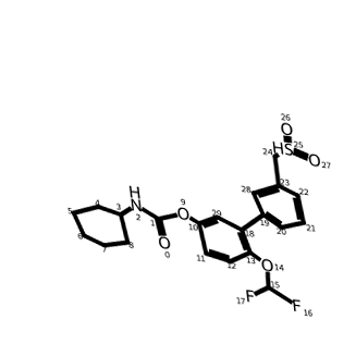 O=C(NC1CCCCC1)Oc1ccc(OC(F)F)c(-c2cccc(C[SH](=O)=O)c2)c1